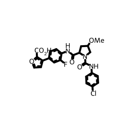 COC1CC(C(=O)Nc2ccc(-c3ccoc3C(=O)O)cc2F)N(C(=O)Nc2ccc(Cl)cc2)C1